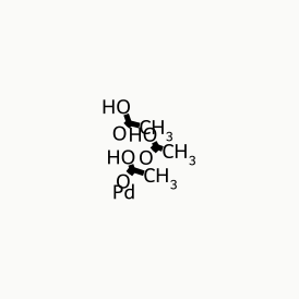 CC(=O)O.CC(=O)O.CC(=O)O.[Pd]